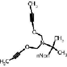 CC#COCN(COC#CC)C(C)(C)CCCCCCCCC